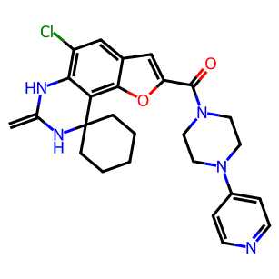 C=C1Nc2c(Cl)cc3cc(C(=O)N4CCN(c5ccncc5)CC4)oc3c2C2(CCCCC2)N1